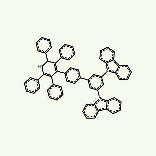 c1ccc(C2=C(c3ccccc3)C(c3ccc(-c4cc(-n5c6ccccc6c6ccccc65)cc(-n5c6ccccc6c6ccccc65)c4)cc3)=C(c3ccccc3)C(c3ccccc3)N2)cc1